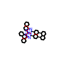 c1ccc(-c2nc(-c3ccccc3)nc(-c3ccc(-c4cccc5cccc(-c6ccc(-c7nc(-c8ccccc8)nc(-c8cccc9ccccc89)n7)cc6)c45)cc3)n2)cc1